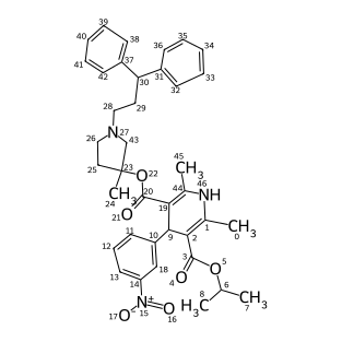 CC1=C(C(=O)OC(C)C)C(c2cccc([N+](=O)[O-])c2)C(C(=O)OC2(C)CCN(CCC(c3ccccc3)c3ccccc3)C2)=C(C)N1